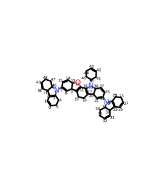 C1=CC2=C(CC1)N(C1=CC3C4=C(OC3C=C1)C1=C(CC4)C3C=C(N4C5=C(C=CCC5)C5C=CCCC54)C=CC3N1C1CC=CCC1)C1CCC=CC21